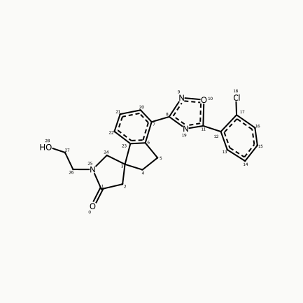 O=C1CC2(CCc3c(-c4noc(-c5ccccc5Cl)n4)cccc32)CN1CCO